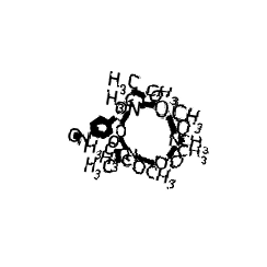 CCC(C)[C@H]1C(=O)O[C@H](Cc2ccc(N=O)cc2)C(=O)N(C)[C@@H](C(C)CC)C(=O)O[C@H](C)C(=O)N(C)[C@@H](C)C(=O)O[C@H](C)C(=O)N1C